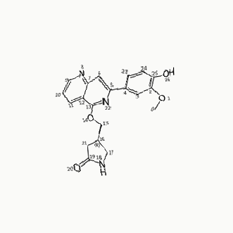 COc1cc(-c2cc3ncccc3c(OC[C@H]3CNC(=O)C3)n2)ccc1O